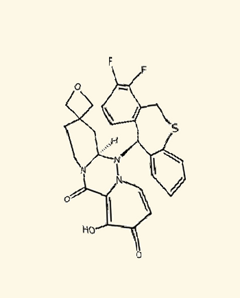 O=C1c2c(O)c(=O)ccn2N([C@@H]2c3ccccc3SCc3c2ccc(F)c3F)[C@@H]2CC3(CCN12)COC3